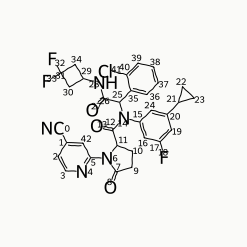 N#Cc1ccnc(N2C(=O)CCC2C(=O)N(c2cc(F)cc(C3CC3)c2)C(C(=O)NC2CC(F)(F)C2)c2ccccc2Cl)c1